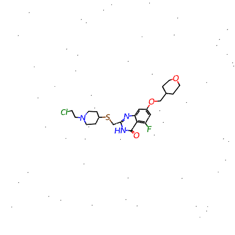 O=c1[nH]c(CSC2CCN(CCCl)CC2)nc2cc(OCC3CCOCC3)cc(F)c12